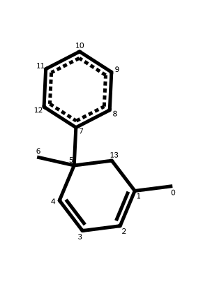 CC1=CC=CC(C)(c2ccccc2)C1